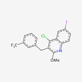 COc1nc2ccc(I)cc2c(Cl)c1Cc1cccc(C(F)(F)F)c1